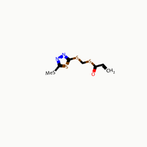 C=CC(=O)SCSc1nnc(SC)s1